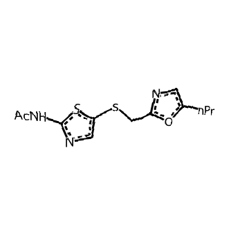 CCCc1cnc(CSc2cnc(NC(C)=O)s2)o1